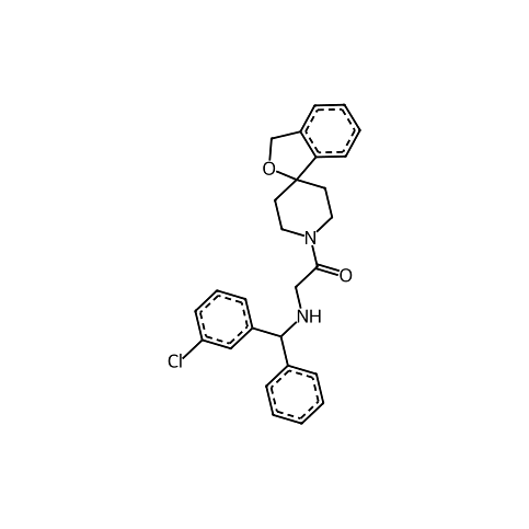 O=C(CNC(c1ccccc1)c1cccc(Cl)c1)N1CCC2(CC1)OCc1ccccc12